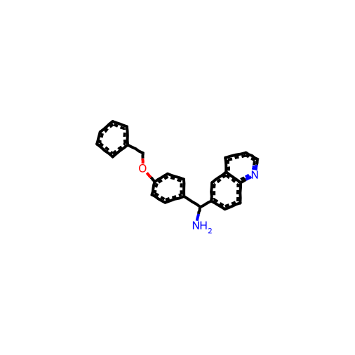 NC(c1ccc(OCc2ccccc2)cc1)c1ccc2ncccc2c1